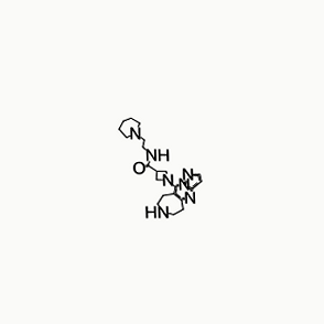 O=C(NCCN1CCCCC1)C1CN(c2c3c(nc4ccnn24)CCNCC3)C1